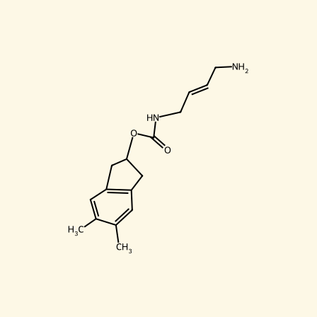 Cc1cc2c(cc1C)CC(OC(=O)NC/C=C/CN)C2